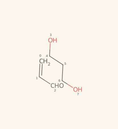 C=CC=O.OCCCO